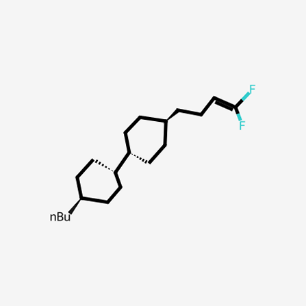 CCCC[C@H]1CC[C@H]([C@H]2CC[C@H](CCC=C(F)F)CC2)CC1